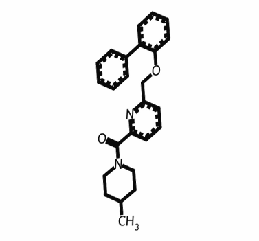 CC1CCN(C(=O)c2cccc(COc3ccccc3-c3ccccc3)n2)CC1